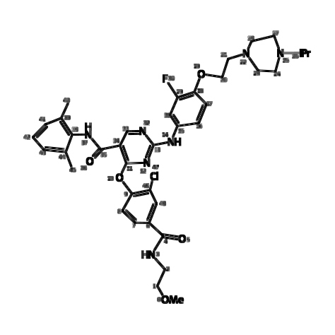 COCCNC(=O)c1ccc(Oc2nc(Nc3ccc(OCCN4CCN(C(C)C)CC4)c(F)c3)ncc2C(=O)Nc2c(C)cccc2C)c(Cl)c1